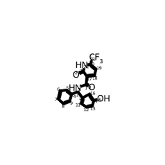 O=C(NC(c1ccccc1)c1cccc(O)c1)c1ccc(C(F)(F)F)[nH]c1=O